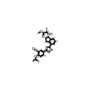 [C-]#[N+]c1cc(-c2nc(-c3cccc4c3CC[C@@H]4N[C@H](C)C(=O)OC)no2)ccc1OC(C)C